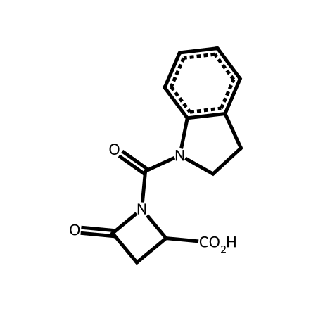 O=C(O)C1CC(=O)N1C(=O)N1CCc2ccccc21